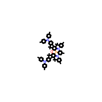 Cc1ccc(N(c2ccc(C)cc2)c2ccc3c(c2)C(C)(C)c2c4c5c6c(c2-3)C(C)(C)c2cc(C)ccc2N6c2cc(C)cc3c2P5c2c(c5c(c6c2N3c2ccc(C)cc2C6(C)C)-c2ccc(N(c3ccc(C)cc3)c3ccc(C)cc3)cc2C5(C)C)O4)cc1